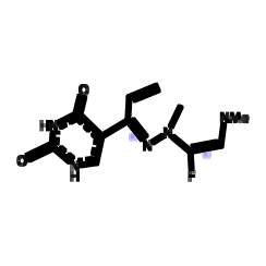 C=C/C(=N\N(C)/C(F)=C\NC)c1c[nH]c(=O)[nH]c1=O